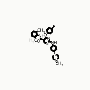 Cc1cccc(C)c1NC(=O)c1cnc(Nc2ccc(N3CCN(C)CC3)cc2)nc1Oc1ccc(F)cc1